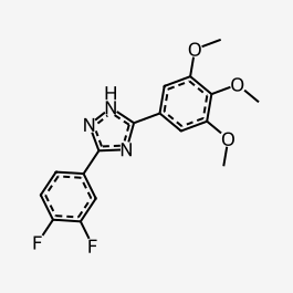 COc1cc(-c2nc(-c3ccc(F)c(F)c3)n[nH]2)cc(OC)c1OC